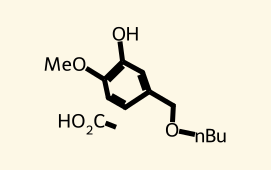 CC(=O)O.CCCCOCc1ccc(OC)c(O)c1